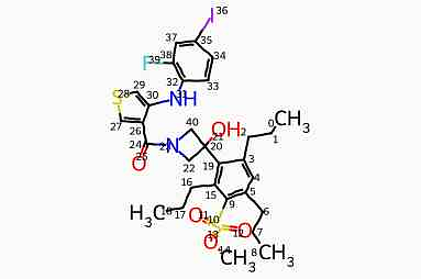 CCCc1cc(CCC)c(S(=O)(=O)OC)c(CCC)c1C1(O)CN(C(=O)c2cscc2Nc2ccc(I)cc2F)C1